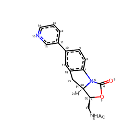 CC(=O)NC[C@@H]1OC(=O)N2c3ccc(-c4cccnc4)cc3C[C@H]12